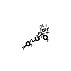 N#Cc1ccc(OCc2ccc(C(F)(F)C(O)(CN(N)/C=N\N)c3ccc(F)cc3F)nc2)c(F)c1